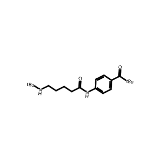 CC(C)(C)NCCCCC(=O)Nc1ccc(C(=O)C(C)(C)C)cc1